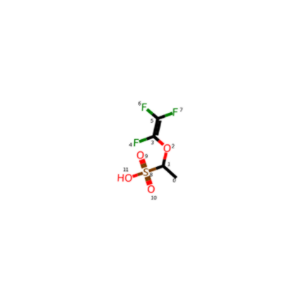 CC(OC(F)=C(F)F)S(=O)(=O)O